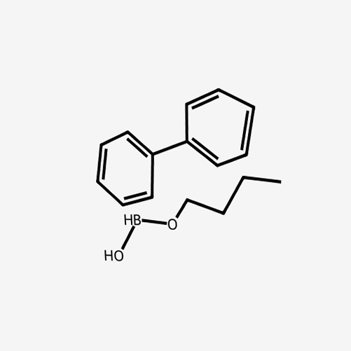 CCCCOBO.c1ccc(-c2ccccc2)cc1